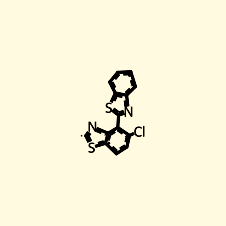 Clc1ccc2s[c]nc2c1-c1nc2ccccc2s1